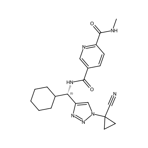 CNC(=O)c1ccc(C(=O)N[C@H](c2cn(C3(C#N)CC3)nn2)C2CCCCC2)cn1